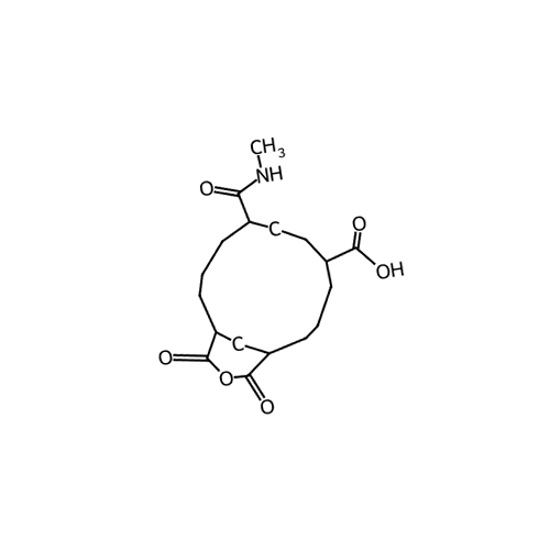 CNC(=O)C1CCCC2CC(CCCC(C(=O)O)CC1)C(=O)OC2=O